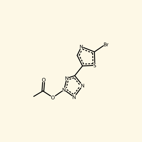 CC(=O)On1nnc(-c2cnc(Br)s2)n1